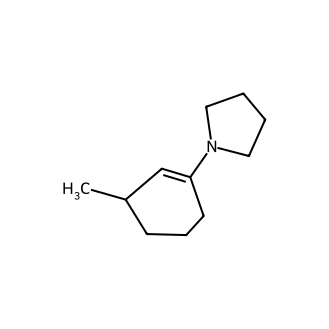 CC1C=C(N2CCCC2)CCC1